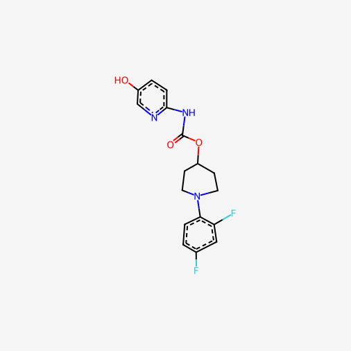 O=C(Nc1ccc(O)cn1)OC1CCN(c2ccc(F)cc2F)CC1